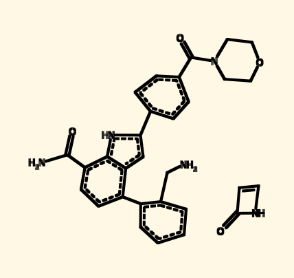 NCc1ccccc1-c1ccc(C(N)=O)c2[nH]c(-c3ccc(C(=O)N4CCOCC4)cc3)cc12.O=C1C=CN1